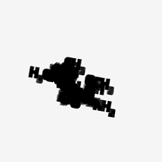 COc1ccc2c3c1O[C@H]1C(OC(=O)N4CCCCC4NC(=O)[C@H](CCCCN)NC(=O)CNC(C)=O)=CC[C@H]4[C@@H](C2)N(C)CC[C@]314